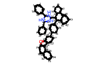 c1ccc(C2NC(c3ccccc3)NC(c3c(-c4ccc(-c5ccc6c(c5)oc5ccc7ccccc7c56)cc4)c4ccccc4c4ccccc34)N2)cc1